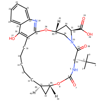 CC(C)(C)[C@@H]1NC(=O)O[C@@H]2C[C@H]2CCCCCc2c(nc3ccccc3c2O)O[C@@H]2C[C@@H](C(=O)O)N(C2)C1=O